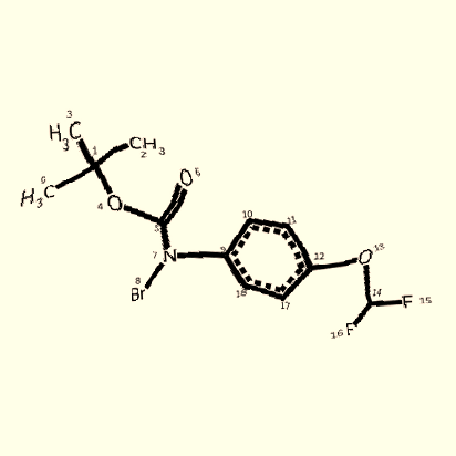 CC(C)(C)OC(=O)N(Br)c1ccc(OC(F)F)cc1